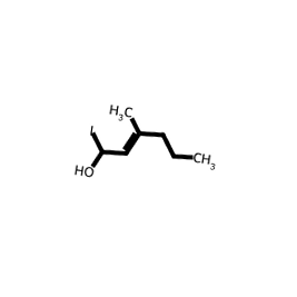 CCCC(C)=CC(O)I